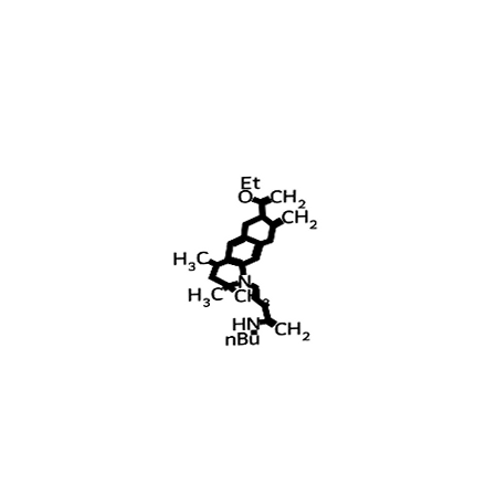 C=C(CCCN1c2cc3c(cc2C(C)CC1(C)C)CC(C(=C)OCC)C(=C)C3)NCCCC